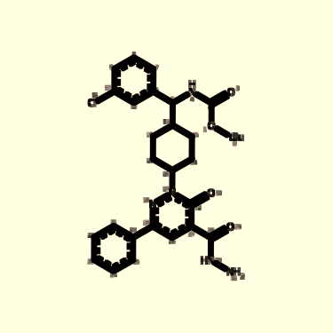 CC(C)(C)OC(=O)NC(c1cccc(Cl)c1)C1CCC(n2nc(-c3ccccc3)cc(C(=O)NN)c2=O)CC1